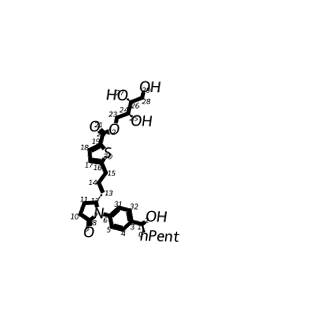 CCCCC[C@H](O)c1ccc(N2C(=O)CC[C@@H]2CCCc2ccc(C(=O)OC[C@@H](O)[C@H](O)CO)s2)cc1